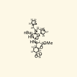 CCCC[C@@H](NC(=O)N[C@@H](CC(=O)OC)c1ccc2c(c1)OCO2)C(=O)N(Cc1cccs1)Cc1cccs1